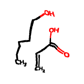 C=CC(=O)O.CCCCO